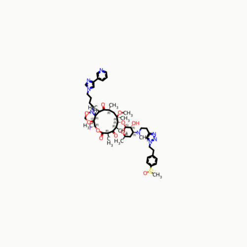 CO[C@]1(C)C[C@@H](C)C(=O)[C@H](C)[C@H]2N(CCCCn3cnc(-c4cccnc4)c3)OCO[C@]2(C)[C@@H](I)OC(=O)[C@H](C)C(=O)[C@H](C)[C@H]1O[C@@H]1O[C@H](C)C[C@H](N(C)CCc2cn(CCc3ccc([S+](C)[O-])cc3)nn2)[C@H]1O